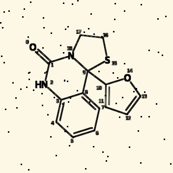 O=C1Nc2ccccc2C2(c3ccco3)SCCN12